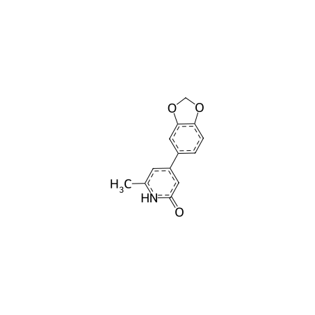 Cc1cc(-c2ccc3c(c2)OCO3)cc(=O)[nH]1